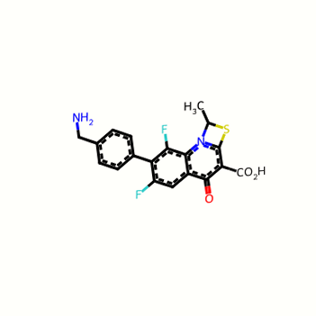 CC1Sc2c(C(=O)O)c(=O)c3cc(F)c(-c4ccc(CN)cc4)c(F)c3n21